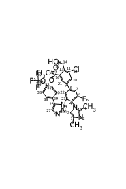 Cc1cn(-c2c(F)cc(-c3cc(Cl)c(CO)c(S(C)(=O)=O)c3)cc2-n2nncc2-c2ccc(OC(F)(F)F)cc2)c(C)n1